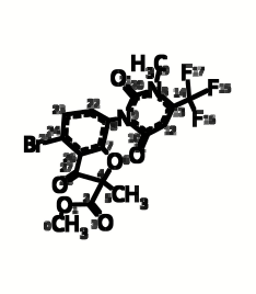 COC(=O)C1(C)Oc2c(-n3c(=O)cc(C(F)(F)F)n(C)c3=O)ccc(Br)c2C1=O